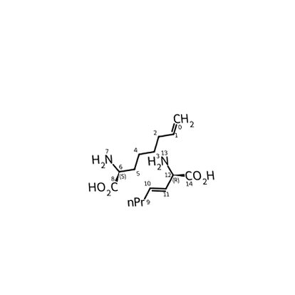 C=CCCCC[C@H](N)C(=O)O.CCCC=C[C@@H](N)C(=O)O